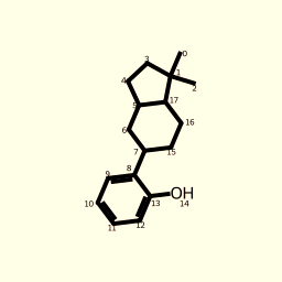 CC1(C)CCC2CC(c3ccccc3O)CCC21